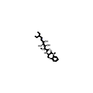 CCC(/C=C/[C@@H](O)[C@H](O)[C@@H](O)[C@@H](OC)C(=O)NC1CSc2ccccc2N(C)C1=O)CC